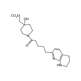 CCOC(=O)CC1(O)CCN(C(=O)CCCCc2ccc3c(n2)NCCC3)CC1